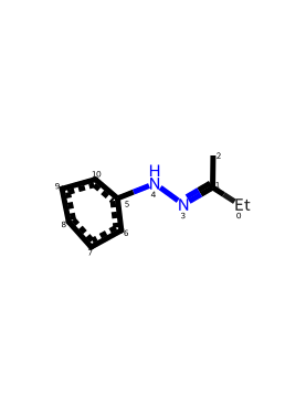 CCC(C)=NNc1ccccc1